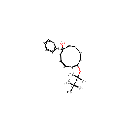 CC(C)(C)[Si](C)(C)OC1CCCCC(O)(c2ccccc2)CCCC1